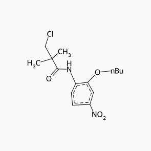 CCCCOc1cc([N+](=O)[O-])ccc1NC(=O)C(C)(C)CCl